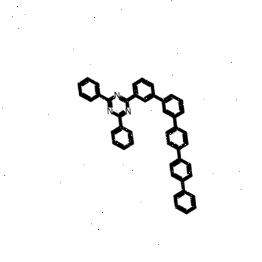 c1ccc(-c2ccc(-c3ccc(-c4cccc(-c5cccc(-c6nc(-c7ccccc7)nc(-c7ccccc7)n6)c5)c4)cc3)cc2)cc1